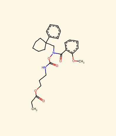 CCC(=O)OCCCNC(=O)ON(CC1(c2ccccc2)CCCCC1)C(=O)c1ccccc1OC